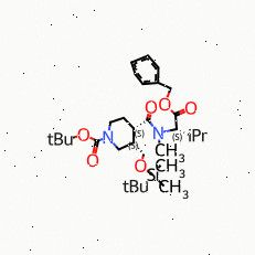 CC(C)[C@@H](C(=O)OCc1ccccc1)N(C)C(=O)[C@H]1CCN(C(=O)OC(C)(C)C)C[C@H]1CO[Si](C)(C)C(C)(C)C